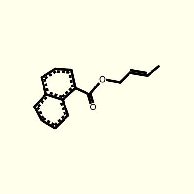 CC=CCOC(=O)c1cccc2ccccc12